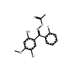 COc1cc(O)c(C(=NOC(C)=O)c2ccccc2F)cc1Br